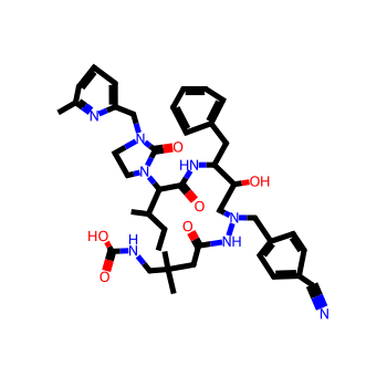 CCC(C)C(C(=O)NC(Cc1ccccc1)C(O)CN(Cc1ccc(C#N)cc1)NC(=O)CC(C)(C)CNC(=O)O)N1CCN(Cc2cccc(C)n2)C1=O